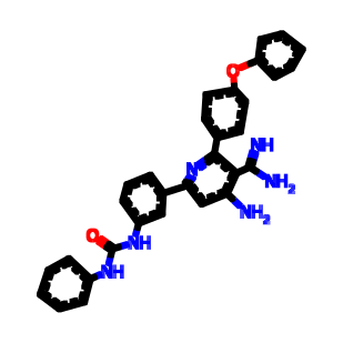 N=C(N)c1c(N)cc(-c2cccc(NC(=O)Nc3ccccc3)c2)nc1-c1ccc(Oc2ccccc2)cc1